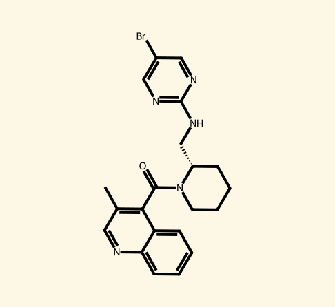 Cc1cnc2ccccc2c1C(=O)N1CCCC[C@H]1CNc1ncc(Br)cn1